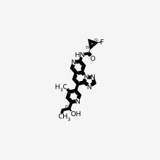 CC[C@H](O)c1cc(C)c(-c2cc3cnc(NC(=O)[C@@H]4C[C@@H]4F)cc3n3ncnc23)cn1